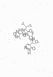 COCC(c1ccn[nH]c1=O)n1cc(NC(=O)C(NC(=O)c2nonc2C)C(C2CC2)C2CC2)c(F)n1